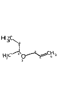 C=C[CH]OC(C)CC